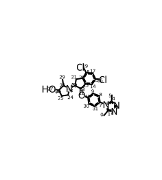 Cc1nnc(C)n1-c1ccc(O[C@H]2c3cc(Cl)cc(Cl)c3C[C@@H]2N2CC[C@@H](O)C2C)cc1